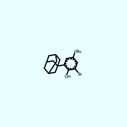 CCCCc1cc(Br)c(O)c(C23CC4CC(CC(C4)C2)C3)c1